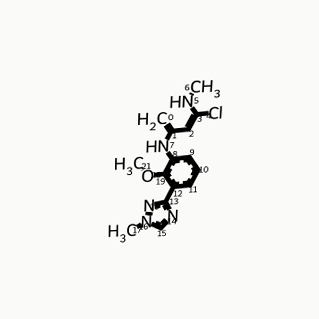 C=C(/C=C(/Cl)NC)Nc1cccc(-c2ncn(C)n2)c1OC